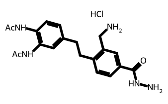 CC(=O)Nc1ccc(CCc2ccc(C(=O)NN)cc2CN)cc1NC(C)=O.Cl